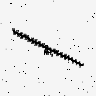 CCCCCCCCCCCCCCCCCCCC(=O)OCCCCCCCCCCCCCCCCCC.N